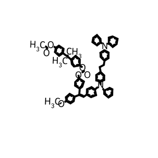 COc1ccc(C(=Cc2ccc(N(c3ccccc3)c3ccc(CCc4ccc(N(c5ccccc5)c5ccccc5)cc4)cc3)cc2)c2ccc(OC(=O)Oc3ccc(C(C)(C)c4ccc(OC(C)=O)cc4)cc3)cc2)cc1